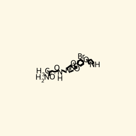 C[C@@H](C[CH]C(=O)NCCN1CCN(S(=O)(=O)c2ccc(O[C@H]3CCNC3)c(Br)c2)CC1)C(N)=O